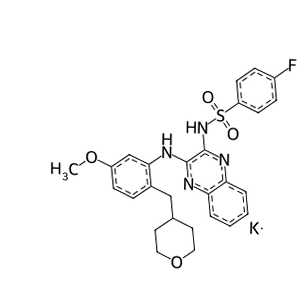 COc1ccc(CC2CCOCC2)c(Nc2nc3ccccc3nc2NS(=O)(=O)c2ccc(F)cc2)c1.[K]